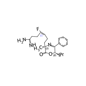 CC(C)[C@H]1OC(=O)[C@](C)(CC/C=C(/F)CCC(=N)N)N=C1c1ccccc1